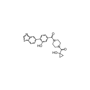 O=C(c1ccc(-c2ccc3scnc3c2)c(O)c1)N1CCN(C(=O)C2(O)CC2)CC1